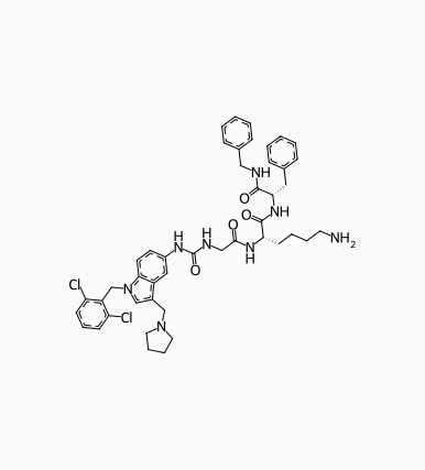 NCCCC[C@H](NC(=O)CNC(=O)Nc1ccc2c(c1)c(CN1CCCC1)cn2Cc1c(Cl)cccc1Cl)C(=O)N[C@@H](Cc1ccccc1)C(=O)NCc1ccccc1